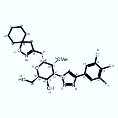 CO[C@@H]1[C@@H](n2cc(-c3cc(F)c(F)c(Cl)c3)nn2)[C@@H](O)[C@@H](CO)O[C@@H]1CC1=NOC2(CCCCC2)C1